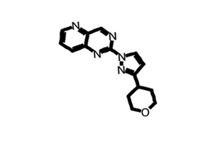 c1cnc2cnc(-n3ccc(C4CCOCC4)n3)nc2c1